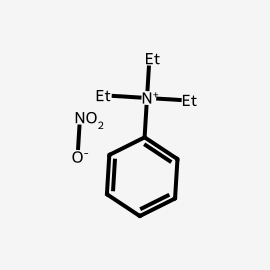 CC[N+](CC)(CC)c1ccccc1.O=[N+]([O-])[O-]